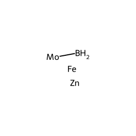 [BH2][Mo].[Fe].[Zn]